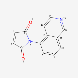 O=C1C=CC(=O)N1c1cccc2cnccc12